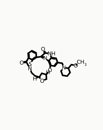 COCC1CCCCN1Cc1cc2c3nc(c(=O)[nH]c3c1)-c1cccc3c(=O)n(sc13)CC[C@@H]1C[C@@H](CO1)O2